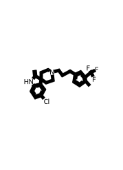 C=C1Nc2ccc(Cl)cc2C12CCN(CCCc1ccc(C)c(C(F)(F)F)c1)CC2